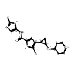 Cc1ncc(NC(=O)c2cc(C3CC3NC3CCOCC3)c(C)s2)s1